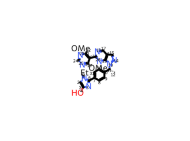 CCn1cc(O)nc1-c1ccc([C@@H](C)n2ncc3cnc(-c4c(OC)ncnc4OC)nc32)cc1